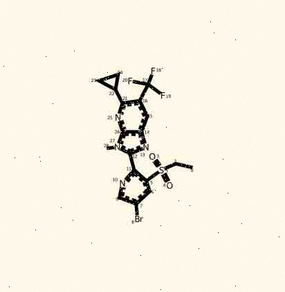 CCS(=O)(=O)c1cc(Br)cnc1-c1nc2cc(C(F)(F)F)c(C3CC3)nc2n1C